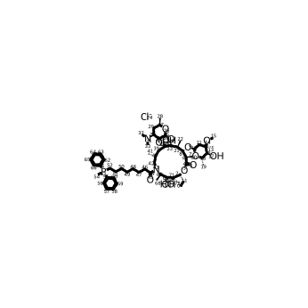 CC[C@H]1OC(=O)[C@H](C)[C@@H](O[C@H]2C[C@@](C)(OC)[C@@H](O)[C@H](C)O2)[C@H](C)[C@@H](O[C@@H]2O[C@H](C)C[C@H](N(C)C)[C@H]2O)[C@](C)(O)C[C@@H](C)CN(C(=O)CCCCCCC[P+](C)(c2ccccc2)c2ccccc2)[C@H](C)[C@@H](O)[C@]1(C)O.[Cl-]